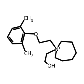 Cc1cccc(C)c1OCC[N+]1(CCO)CCCCCC1